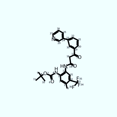 Cc1cc(NC(=O)OC(C)(C)C)c(NC(=O)CC(=O)c2cccc(-c3cccnc3)c2)cc1C(F)(F)F